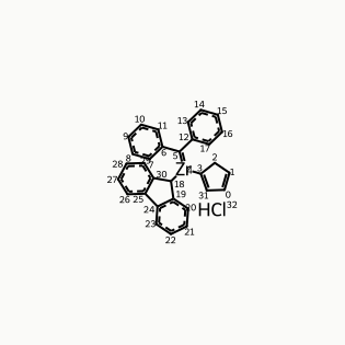 C1=CC[C]([Zr](=[C](c2ccccc2)c2ccccc2)[CH]2c3ccccc3-c3ccccc32)=C1.Cl